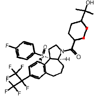 CC(C)(O)C12CCC(C(=O)N3CC[C@]4(S(=O)(=O)c5ccc(F)cc5)c5ccc(C(F)(C(F)(F)F)C(F)(F)F)cc5CCC[C@H]34)(CC1)CC2